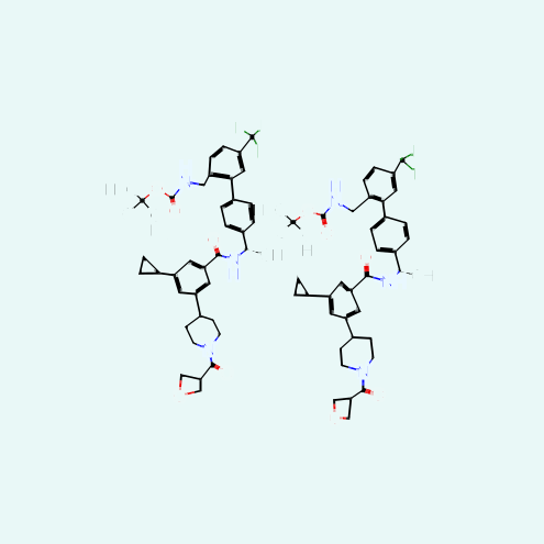 C[C@@H](NC(=O)c1cc(C2CC2)cc(C2CCN(C(=O)C3COC3)CC2)c1)c1ccc(-c2cc(C(F)(F)F)ccc2CNC(=O)OC(C)(C)C)cc1.C[C@@H](NC(=O)c1cc(C2CC2)cc(C2CCN(C(=O)C3COC3)CC2)c1)c1ccc(-c2cc(C(F)(F)F)ccc2CNC(=O)OC(C)(C)C)cc1